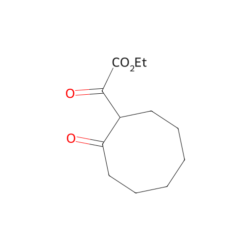 CCOC(=O)C(=O)C1CCCCCCC1=O